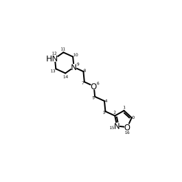 c1cc(CCCOCCN2CCNCC2)no1